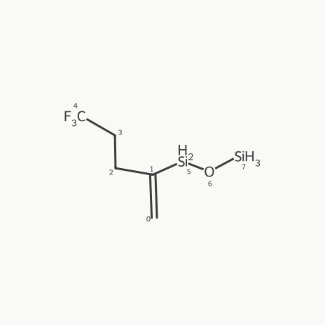 C=C(CCC(F)(F)F)[SiH2]O[SiH3]